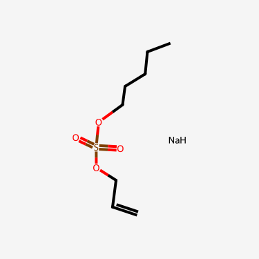 C=CCOS(=O)(=O)OCCCCC.[NaH]